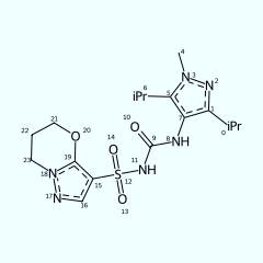 CC(C)c1nn(C)c(C(C)C)c1NC(=O)NS(=O)(=O)c1cnn2c1OCCC2